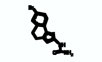 NC(=O)Nc1cc2c(s1)-c1ccc(Br)cc1CC2